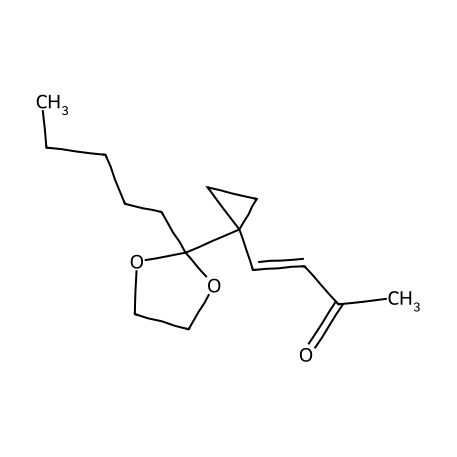 CCCCCC1(C2(/C=C/C(C)=O)CC2)OCCO1